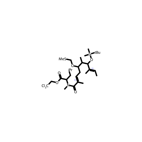 C/C=C(\C)C(O[Si](C)(C)C(C)(C)C)C(C)C(C/C=C(\C)C(=O)N(C)C(CC(C)C)C(=O)OCC(Cl)(Cl)Cl)OCSC